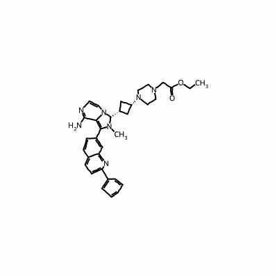 CCOC(=O)CN1CCN([C@H]2C[C@@H](C3N(C)C(c4ccc5ccc(-c6ccccc6)nc5c4)=C4C(N)=NC=CN43)C2)CC1